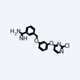 N=C(N)c1cccc(COc2cccc(Oc3ccnc(Cl)n3)c2)c1